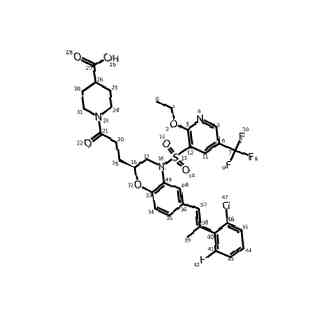 CCOc1ncc(C(F)(F)F)cc1S(=O)(=O)N1C[C@H](CCC(=O)N2CCC(C(=O)O)CC2)Oc2ccc(/C=C(\C)c3c(F)cccc3Cl)cc21